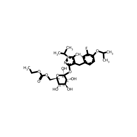 CCOC(=O)OC[C@H]1O[C@@](O)(Oc2nn(C(C)C)c(C)c2Cc2ccc(OC(C)C)c(F)c2)[C@H](O)[C@@H](O)[C@@H]1O